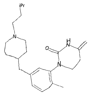 C=C1CCN(c2cc(CC3CCN(CCC(C)C)CC3)ccc2C)C(=O)N1